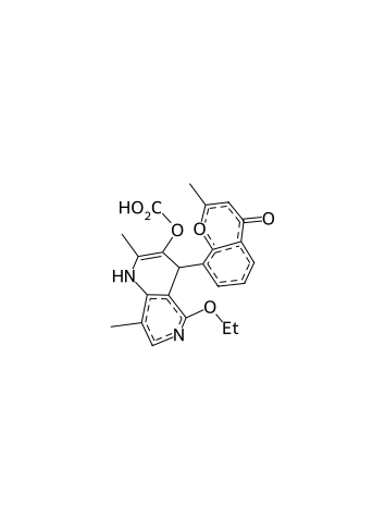 CCOc1ncc(C)c2c1C(c1cccc3c(=O)cc(C)oc13)C(OC(=O)O)=C(C)N2